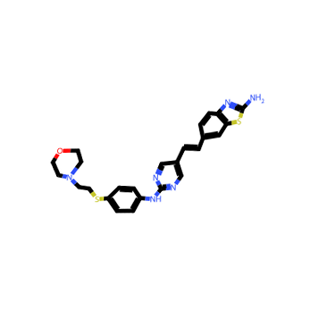 Nc1nc2ccc(C=Cc3cnc(Nc4ccc(SCCN5CCOCC5)cc4)nc3)cc2s1